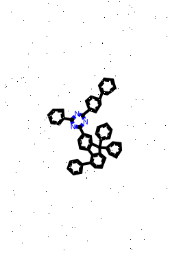 c1ccc(-c2ccc(-c3nc(-c4ccccc4)nc(-c4ccc5c(c4)C(c4ccccc4)(c4ccccc4)c4cccc(-c6ccccc6)c4-5)n3)cc2)cc1